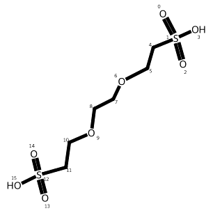 O=S(=O)(O)CCOCCOCCS(=O)(=O)O